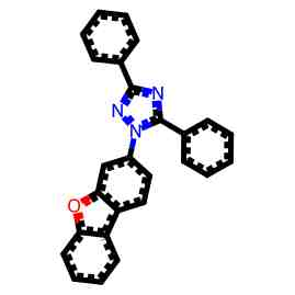 c1ccc(-c2nc(-c3ccccc3)n(-c3ccc4c(c3)oc3ccccc34)n2)cc1